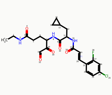 CCNC(=O)CCC(NC(=O)C(CC1CC1)NC(=O)/C=C/c1ccc(Cl)cc1F)C(=O)C=O